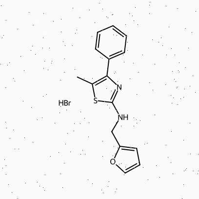 Br.Cc1sc(NCc2ccco2)nc1-c1ccccc1